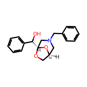 OC(c1ccccc1)[C@@]12CN(Cc3ccccc3)C[C@@H](CO1)O2